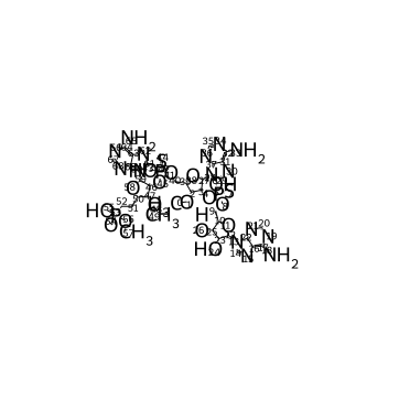 CO[C@H]1[C@@H](O[P@@](O)(=S)OC[C@H]2O[C@@H](n3cnc4c(N)ncnc43)[C@H](O)[C@@H]2O)[C@H](n2cnc3c(N)ncnc32)O[C@@H]1CO[P@@](O)(=S)O[C@@H]1[C@H](OC)[C@@H](CCP(=O)(O)OC)O[C@H]1n1cnc2c(N)ncnc21